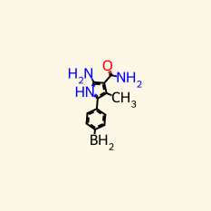 Bc1ccc(-c2[nH]c(N)c(C(N)=O)c2C)cc1